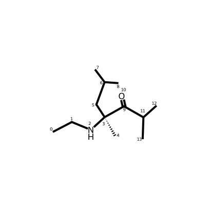 CCN[C@@](C)(CC(C)C)C(=O)C(C)C